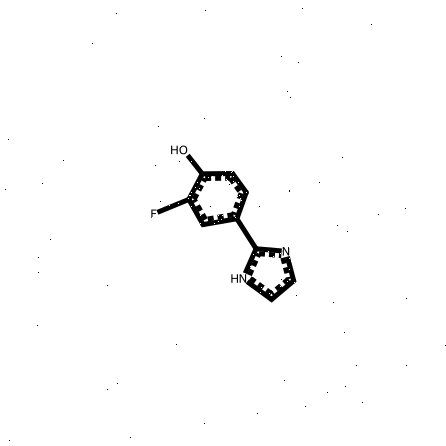 Oc1ccc(-c2ncc[nH]2)cc1F